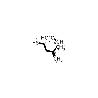 C=C(C)CCS.CC(=O)O